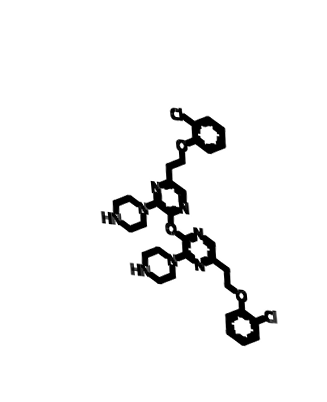 Clc1ccccc1OCCc1cnc(Oc2ncc(CCOc3ccccc3Cl)nc2N2CCNCC2)c(N2CCNCC2)n1